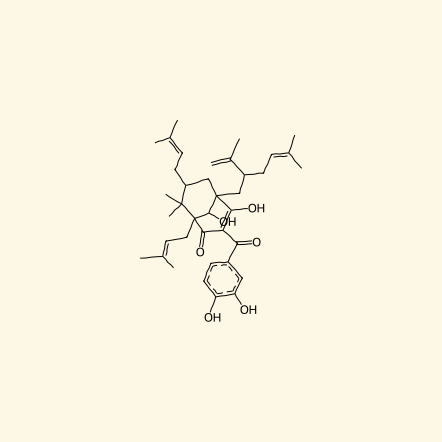 C=C(C)C(CC=C(C)C)CC12CC(CC=C(C)C)C(C)(C)C(CC=C(C)C)(C(=O)C(C(=O)c3ccc(O)c(O)c3)=C1O)C2O